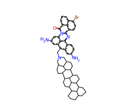 Nc1ccc2c(c1)c(CN1CC3CCC4C5CCC6C7CCCC8CCCC(C9CCC(C%10CCC(C1)C3C4%10)C5C69)C87)c1cc(N)cc3c1c2nc1c2ccc(Br)c4cccc(c(=O)n31)c42